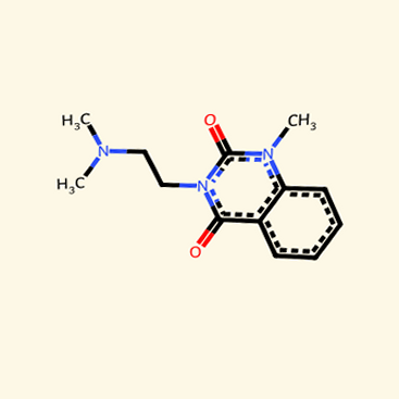 CN(C)CCn1c(=O)c2ccccc2n(C)c1=O